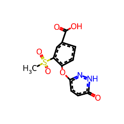 CS(=O)(=O)c1cc(C(=O)O)ccc1Oc1ccc(=O)[nH]n1